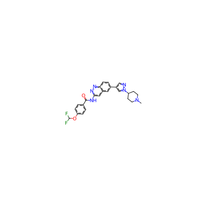 CN1CCC(n2cc(-c3ccc4nnc(NC(=O)c5ccc(OC(F)F)cc5)cc4c3)cn2)CC1